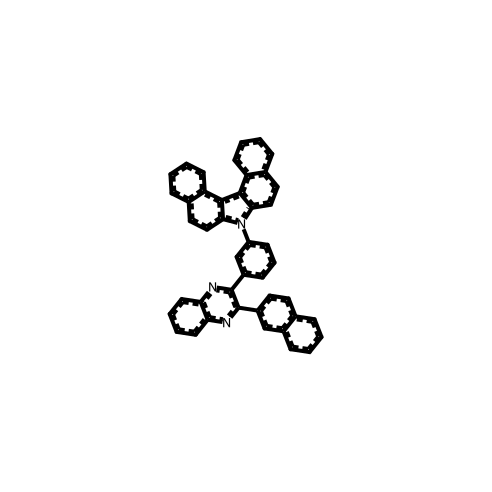 c1cc(-c2nc3ccccc3nc2-c2ccc3ccccc3c2)cc(-n2c3ccc4ccccc4c3c3c4ccccc4ccc32)c1